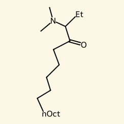 CCCCCCCCCCCCCC(=O)C(CC)N(C)C